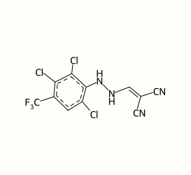 N#CC(C#N)=CNNc1c(Cl)cc(C(F)(F)F)c(Cl)c1Cl